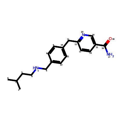 CC(C)CCNCc1ccc(Cc2ccc(C(N)=O)cn2)cc1